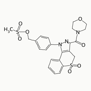 CS(=O)(=O)OCc1ccc(-n2nc(C(=O)N3CCOCC3)c3c2-c2ccccc2S(=O)(=O)C3)cc1